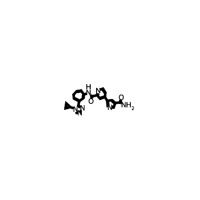 NC(=O)c1cncc(-c2ccnc(C(=O)NC3=CC(c4nncn4C4CC4)=CCC=C3)c2)c1